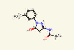 CNC(=O)NC1=NN(c2cccc(C(=O)O)c2)C(=O)C1